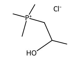 CC(O)C[P+](C)(C)C.[Cl-]